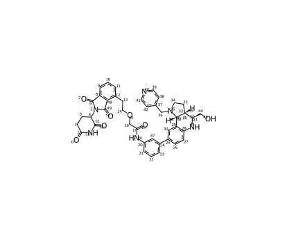 O=C1CCC(N2C(=O)c3cccc(CCOCC(=O)Nc4cccc(-c5ccc6c(c5)[C@H]5[C@H](CCN5Cc5ccncc5)[C@@H](CO)N6)c4)c3C2=O)C(=O)N1